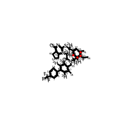 [2H]c1c([2H])c(-c2ccc(C(F)(F)F)cc2)c([2H])c(C)c1CN(C(=O)Cn1c(SC([2H])([2H])c2ccc(F)cc2)nc(=O)c2c1CCC2)C([2H])([2H])C([2H])([2H])N(CC)CC